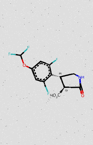 O=C(O)[C@@H]1C(=O)NC[C@H]1c1c(F)cc(OC(F)F)cc1F